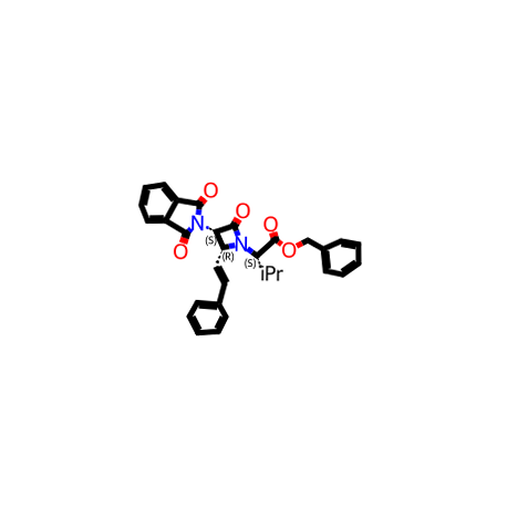 CC(C)[C@@H](C(=O)OCc1ccccc1)N1C(=O)[C@@H](N2C(=O)c3ccccc3C2=O)[C@H]1C=Cc1ccccc1